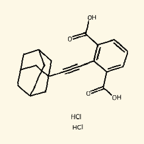 Cl.Cl.O=C(O)c1cccc(C(=O)O)c1C#CC12CC3CC(CC(C3)C1)C2